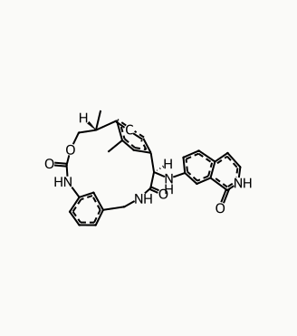 Cc1cc2ccc1[C@@H](C)COC(=O)Nc1cccc(c1)CNC(=O)[C@@H]2Nc1ccc2cc[nH]c(=O)c2c1